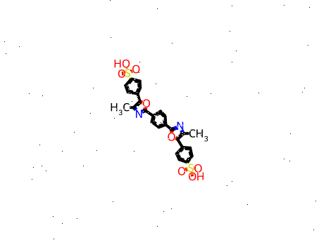 Cc1nc(-c2ccc(-c3nc(C)c(-c4ccc(S(=O)(=O)O)cc4)o3)cc2)oc1-c1ccc(S(=O)(=O)O)cc1